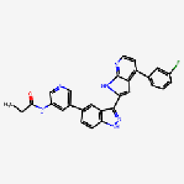 CCC(=O)Nc1cncc(-c2ccc3[nH]nc(-c4cc5c(-c6cccc(F)c6)ccnc5[nH]4)c3c2)c1